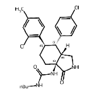 CCCCNC(=O)N[C@@]12CC[C@@H](c3ccc(C)cc3Cl)[C@H](c3ccc(Cl)cc3)[C@@H]1CNC2=O